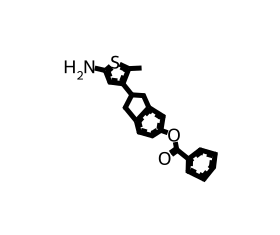 Cc1sc(N)cc1C1Cc2ccc(OC(=O)c3ccccc3)cc2C1